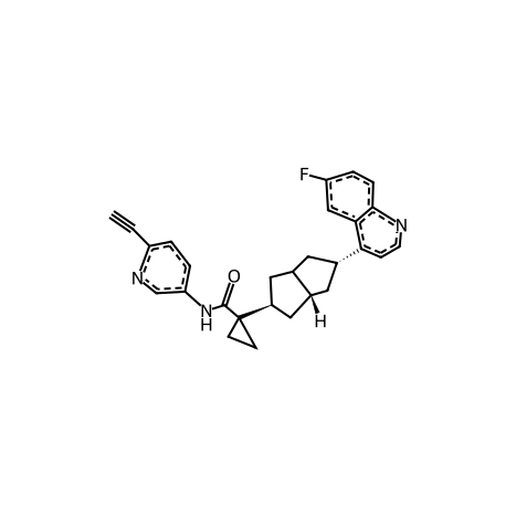 C#Cc1ccc(NC(=O)C2([C@H]3CC4C[C@H](c5ccnc6ccc(F)cc56)C[C@@H]4C3)CC2)cn1